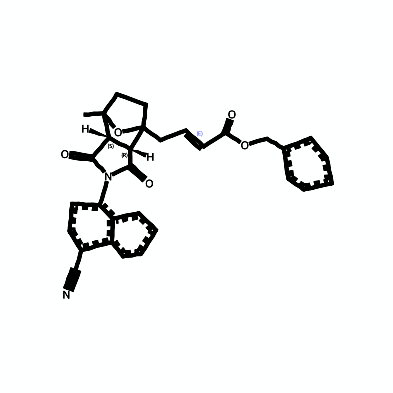 CC12CCC(C/C=C/C(=O)OCc3ccccc3)(O1)[C@@H]1C(=O)N(c3ccc(C#N)c4ccccc34)C(=O)[C@@H]12